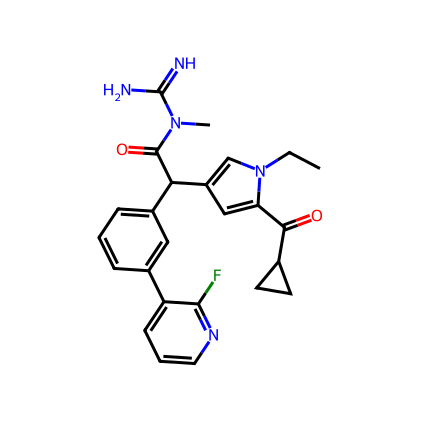 CCn1cc(C(C(=O)N(C)C(=N)N)c2cccc(-c3cccnc3F)c2)cc1C(=O)C1CC1